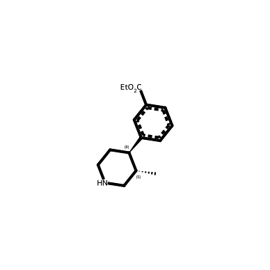 CCOC(=O)c1cccc([C@@H]2CCNC[C@H]2C)c1